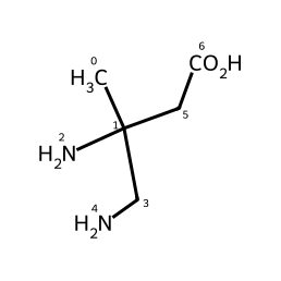 CC(N)(CN)CC(=O)O